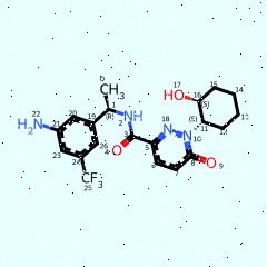 C[C@@H](NC(=O)c1ccc(=O)n([C@H]2CCCC[C@@H]2O)n1)c1cc(N)cc(C(F)(F)F)c1